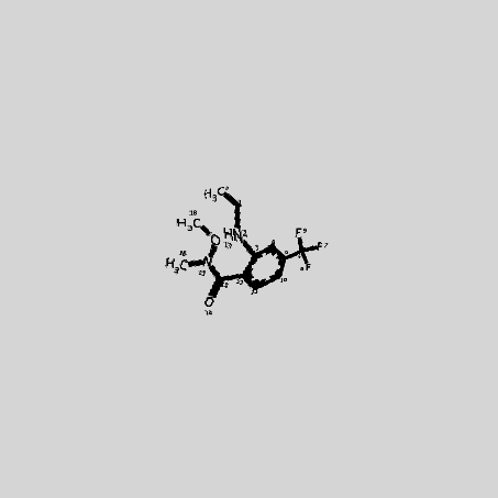 CCNc1cc(C(F)(F)F)ccc1C(=O)N(C)OC